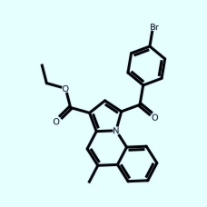 CCOC(=O)c1cc(C(=O)c2ccc(Br)cc2)n2c1cc(C)c1ccccc12